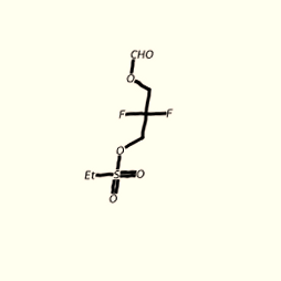 CCS(=O)(=O)OCC(F)(F)COC=O